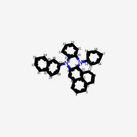 C1=Cc2cccc3cc4c(c(c23)C1)N(c1ccccc1)c1ccccc1N4c1ccc2ccccc2c1